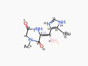 B/C(=C1/NC(=O)CN(C(C)=O)C1=O)c1nc[nH]c1C(C)(C)C